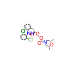 CC1CN(C(=O)OCOC(=O)Cc2ccccc2Nc2c(Cl)cccc2Cl)CC(C)O1